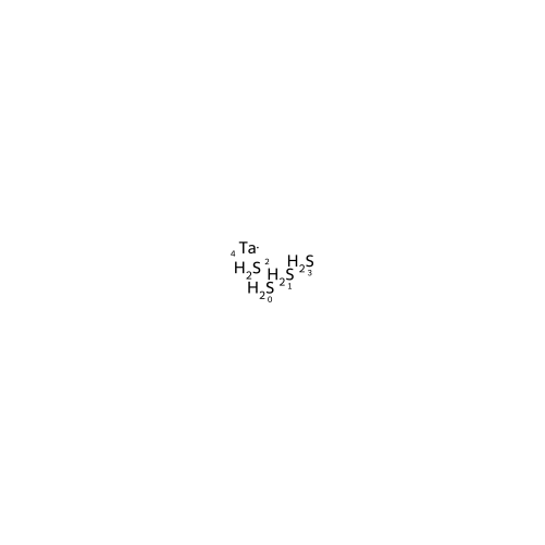 S.S.S.S.[Ta]